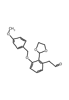 COc1ccc(COc2cccc(CC=O)c2C2OCCO2)cc1